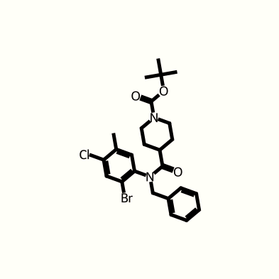 Cc1cc(N(Cc2ccccc2)C(=O)C2CCN(C(=O)OC(C)(C)C)CC2)c(Br)cc1Cl